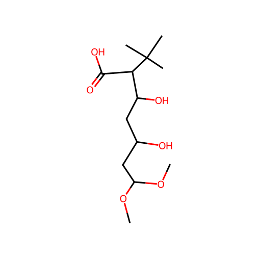 COC(CC(O)CC(O)C(C(=O)O)C(C)(C)C)OC